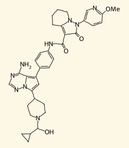 COc1ccc(-n2c(=O)c(C(=O)Nc3ccc(-c4cc(C5CCN(C(O)C6CC6)CC5)n5ncnc(N)c45)cc3)c3n2CCCC3)cn1